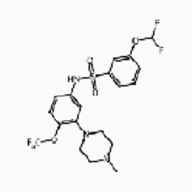 CN1CCN(c2cc(NS(=O)(=O)c3cccc(OC(F)F)c3)ccc2OC(F)(F)F)CC1